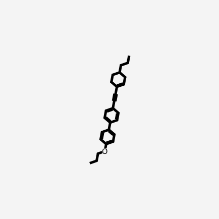 CCCOc1ccc(-c2ccc(C#CC3=CCC(CCC)CC3)cc2)cc1